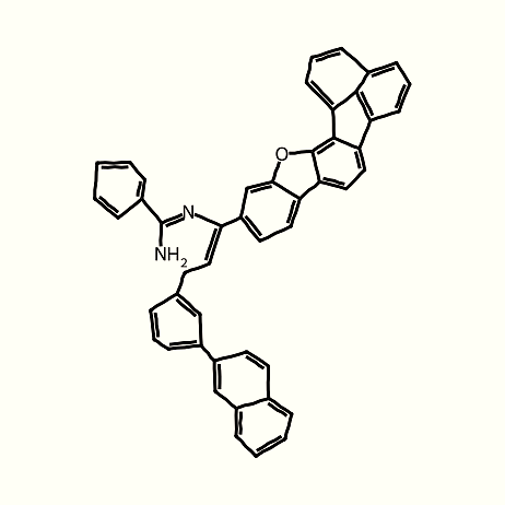 N/C(=N\C(=C/Cc1cccc(-c2ccc3ccccc3c2)c1)c1ccc2c(c1)oc1c3c(ccc12)-c1cccc2cccc-3c12)c1ccccc1